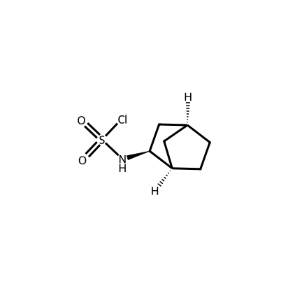 O=S(=O)(Cl)N[C@H]1C[C@H]2CC[C@@H]1C2